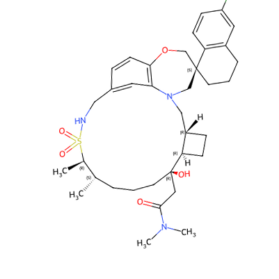 C[C@@H]1[C@@H](C)CCC[C@@](O)(CC(=O)N(C)C)[C@@H]2CC[C@H]2CN2C[C@@]3(CCCc4cc(Cl)ccc43)COc3ccc(cc32)CNS1(=O)=O